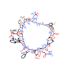 CCCC[C@H]1C(=O)N(C)[C@@H](CCCC)C(=O)N[C@@H](CC(C)C)C(=O)N[C@H](C(=O)NCC(N)=O)CNCC(=O)N[C@@H](Cc2ccc(F)cc2)C(=O)N(C)[C@@H](C)C(=O)N[C@@H](CC(=O)O)C(=O)N2CCC[C@H]2C(=O)N[C@@H](CCC(N)=O)C(=O)N[C@@H](CCC(N)=O)C(=O)N2C[C@H](O)C[C@H]2C(=O)N[C@@H](Cc2c[nH]c3ccccc23)C(=O)N[C@@H](CC(N)=O)C(=O)N[C@@H](Cc2cn(CC(=O)O)c3ccccc23)C(=O)N1C